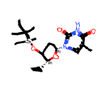 C=C[C@H]1O[C@@H](n2cc(C)c(=O)[nH]c2=O)CC1O[Si](C)(C)C(C)(C)C